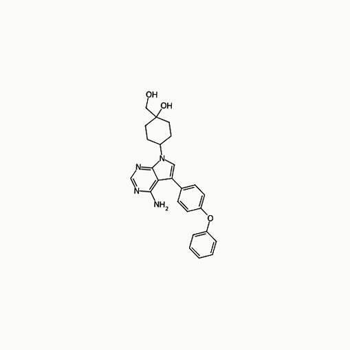 Nc1ncnc2c1c(-c1ccc(Oc3ccccc3)cc1)cn2C1CCC(O)(CO)CC1